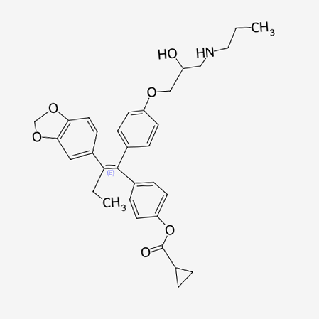 CCCNCC(O)COc1ccc(/C(=C(/CC)c2ccc3c(c2)OCO3)c2ccc(OC(=O)C3CC3)cc2)cc1